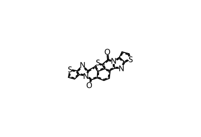 O=c1c2sc3c4c(ccc(c24)c2nc4sccc4n12)c(=O)n1c2ccsc2nc31